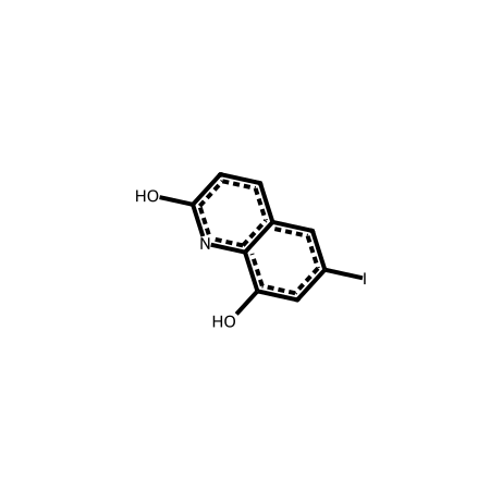 Oc1ccc2cc(I)cc(O)c2n1